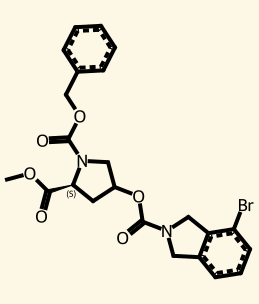 COC(=O)[C@@H]1CC(OC(=O)N2Cc3cccc(Br)c3C2)CN1C(=O)OCc1ccccc1